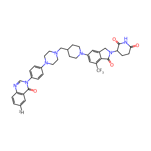 [2H]c1ccc2ncn(-c3ccc(N4CCN(CC5CCN(c6cc7c(c(C(F)(F)F)c6)C(=O)N(C6CCC(=O)NC6=O)C7)CC5)CC4)cc3)c(=O)c2c1